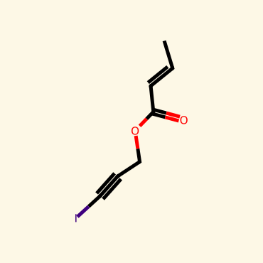 C/C=C/C(=O)OCC#CI